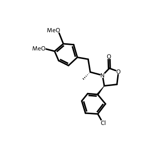 COc1ccc(C[C@@H](C)N2C(=O)OC[C@H]2c2cccc(Cl)c2)cc1OC